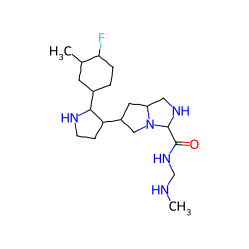 CNCNC(=O)C1NCC2CC(C3CCNC3C3CCC(F)C(C)C3)CN21